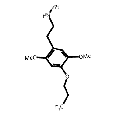 CCCNCCc1cc(OC)c(OCCC(F)(F)F)cc1OC